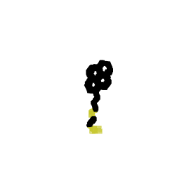 SCCSCCCc1ccc2ccc3c4c(ccc1c24)=CCC3